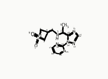 CC(NCC1CS(=O)(=O)C1)c1ncnn1-c1ncccn1